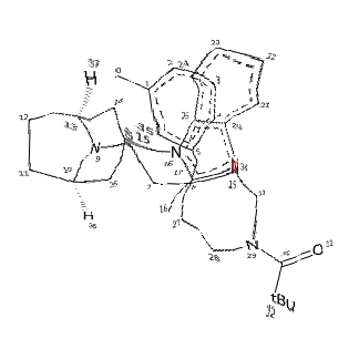 Cc1cccc(C2(CCN3[C@@H]4CC[C@H]3CC(n3c(C)nc5ccccc53)C4)CCN(C(=O)C(C)(C)C)CC2)c1